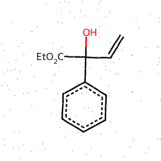 C=CC(O)(C(=O)OCC)c1ccccc1